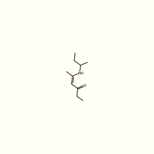 CCC(=O)/C=C(/C)NC(C)CC